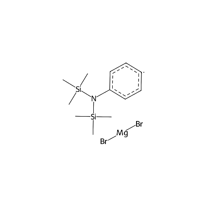 C[Si](C)(C)N(c1cc[c]cc1)[Si](C)(C)C.[Br][Mg][Br]